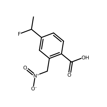 CC(F)c1ccc(C(=O)O)c(C[N+](=O)[O-])c1